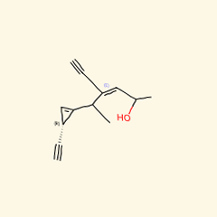 C#C/C(=C/C(C)O)C(C)C1=C[C@H]1C#C